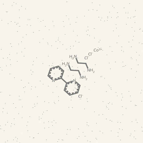 NCCN.NCCN.[Cl-].[Cl-].[Cl-].[Co+3].c1ccc(-c2ccccn2)nc1